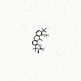 C=CC(=O)Oc1c(C(C)(C)C)ccc(C)c1C(C)c1c(C)ccc(C(C)(C)C)c1O